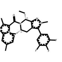 CC[C@H]1Cc2c(nn(C)c2-c2cc(F)c(F)c(F)c2)[C@@H](CC)N1C(=O)c1c(C)nc2cc(C)ccn12